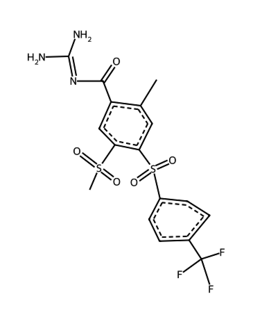 Cc1cc(S(=O)(=O)c2ccc(C(F)(F)F)cc2)c(S(C)(=O)=O)cc1C(=O)N=C(N)N